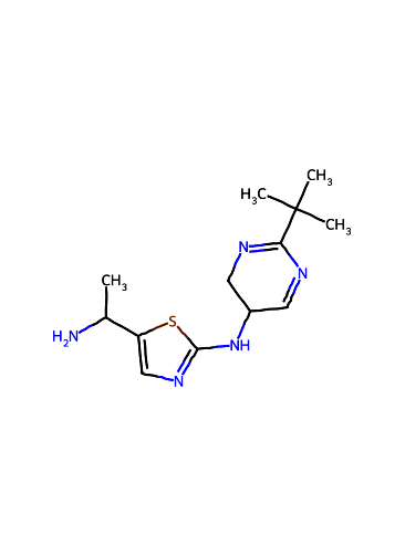 CC(N)c1cnc(NC2C=NC(C(C)(C)C)=NC2)s1